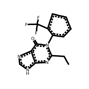 CCc1nc2[nH]cnc2c(=O)n1-c1ccccc1C(F)(F)F